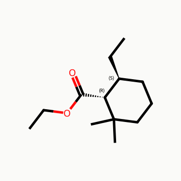 CCOC(=O)[C@@H]1[C@@H](CC)CCCC1(C)C